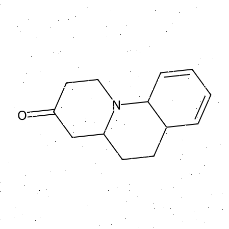 O=C1CCN2C(CCC3C=CC=CC32)C1